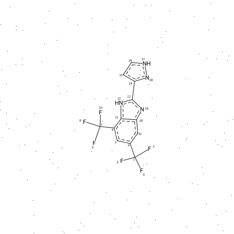 FC(F)(F)c1cc(C(F)(F)F)c2[nH]c(-c3cc[nH]n3)nc2c1